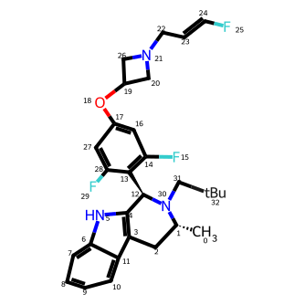 C[C@@H]1Cc2c([nH]c3ccccc23)[C@@H](c2c(F)cc(OC3CN(C/C=C/F)C3)cc2F)N1CC(C)(C)C